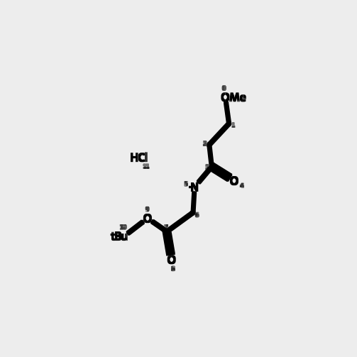 COCCC(=O)[N]CC(=O)OC(C)(C)C.Cl